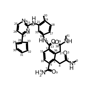 CNC(=O)Cc1c(C(N)=O)ccc(C(=O)Nc2ccc(C)c(Nc3nccc(-c4ccccc4)n3)c2)c1CC(=O)NC